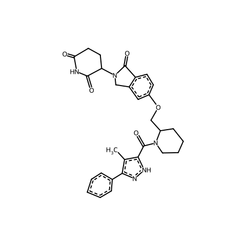 Cc1c(-c2ccccc2)n[nH]c1C(=O)N1CCCCC1COc1ccc2c(c1)CN(C1CCC(=O)NC1=O)C2=O